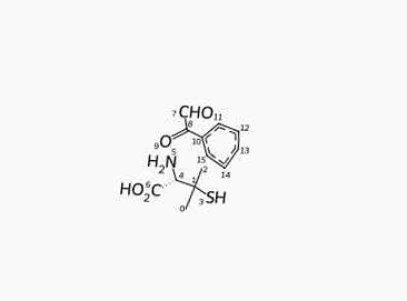 CC(C)(S)[C@@H](N)C(=O)O.O=CC(=O)c1ccccc1